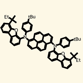 CCC(C)(C)c1cccc2c1oc1c(N(c3ccc(C(C)(C)C)cc3)c3ccc4ccc5c(N(c6ccc(C(C)(C)C)cc6)c6cccc7c6oc6c(C(C)(C)CC)cccc67)ccc6ccc3c4c65)cccc12